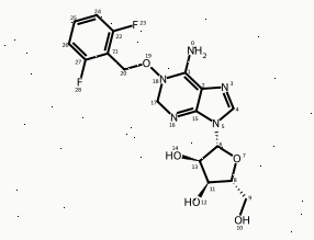 NC1=c2ncn([C@@H]3O[C@H](CO)[C@@H](O)[C@H]3O)c2=NCN1OCc1c(F)cccc1F